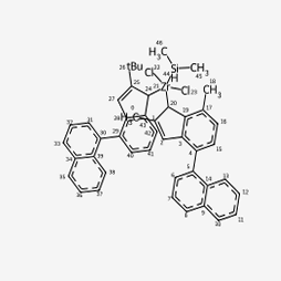 CC1=Cc2c(-c3cccc4ccccc34)ccc(C)c2[CH]1[Zr]([Cl])([Cl])([CH]1C(C(C)(C)C)=Cc2c(-c3cccc4ccccc34)cccc21)[SiH](C)C